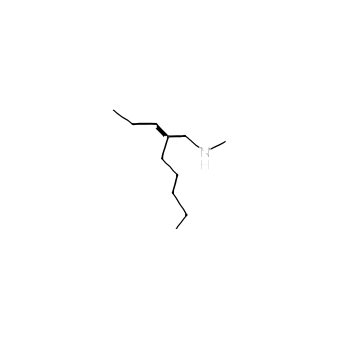 CC/C=C(\CCCCC)CNC